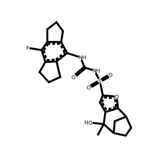 CC1(O)c2cc(S(=O)(=O)NC(=O)Nc3c4c(c(F)c5c3CCC5)CCC4)oc2C2CCC1C2